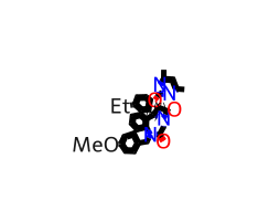 CCc1cccc([C@@]23c4ccccc4N(Cc4ccc(OC)cc4)C(=O)CN2C(=O)[C@H]3Oc2nc(C)cc(C)n2)c1